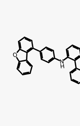 c1ccc(-c2ccccc2Nc2ccc(-c3cccc4oc5ccccc5c34)cc2)cc1